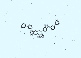 CON=C(C(C)c1ccc2c(c1)ncn2-c1cccc(-c2cccnc2)c1)C(C)c1ccc2c(c1)ncn2-c1cccc(-c2cccnc2)c1